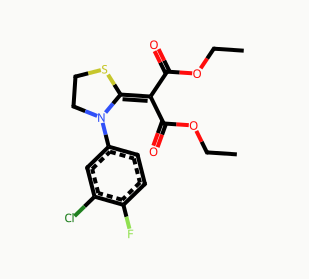 CCOC(=O)C(C(=O)OCC)=C1SCCN1c1ccc(F)c(Cl)c1